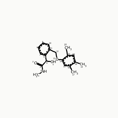 CNC(=O)C(O)c1ccccc1COc1cc(C)c(C)cc1C